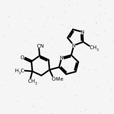 COC1(c2cccc(-n3ccnc3C)n2)C=C(C#N)C(=O)C(C)(C)C1